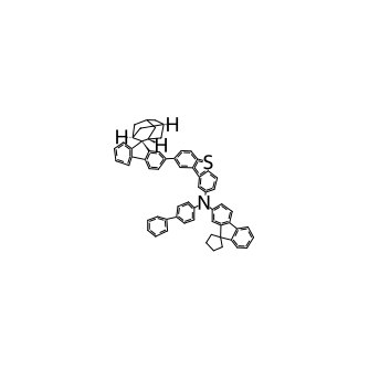 c1ccc(-c2ccc(N(c3ccc4c(c3)C3(CCCC3)c3ccccc3-4)c3ccc4sc5ccc(-c6ccc7c(c6)[C@]6(c8ccccc8-7)[C@@H]7CC8C[C@@H](C7)C[C@@H]6C8)cc5c4c3)cc2)cc1